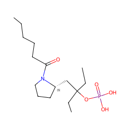 CCCCCC(=O)N1CCC[C@H]1CC(CC)(CC)OP(=O)(O)O